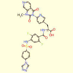 Cn1c(=O)n(-c2ccc(C[C@H](NC(=O)c3cc(F)c(NS(=O)(=O)c4ccc(-n5cnnc5)cc4)cc3F)C(=O)O)cn2)c(=O)c2ccncc21